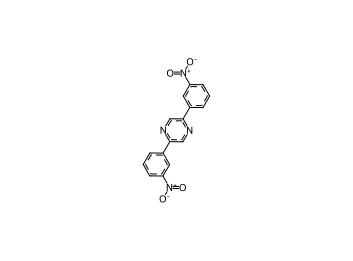 O=[N+]([O-])c1cccc(-c2cnc(-c3cccc([N+](=O)[O-])c3)cn2)c1